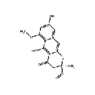 COc1cc(O)cc2cc3c(c(O)c12)C(=O)CC(C)(N=O)O3